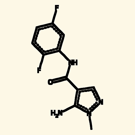 Cn1ncc(C(=O)Nc2cc(F)ccc2F)c1N